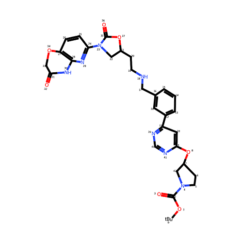 CC(C)(C)OC(=O)N1CCC(Oc2cc(-c3cccc(CNCCC4CN(c5ccc6c(n5)NC(=O)CO6)C(=O)O4)c3)ncn2)C1